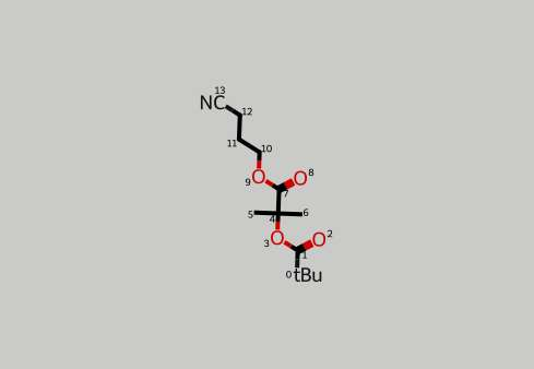 CC(C)(C)C(=O)OC(C)(C)C(=O)OCCCC#N